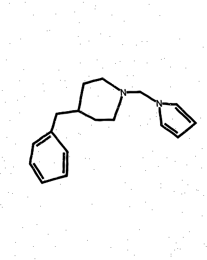 c1ccc(CC2CCN(Cn3cccc3)CC2)cc1